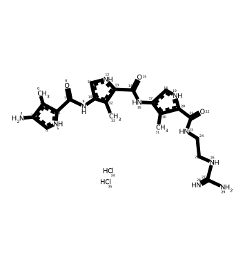 Cc1c(N)c[nH]c1C(=O)Nc1c[nH]c(C(=O)Nc2c[nH]c(C(=O)NCCNC(=N)N)c2C)c1C.Cl.Cl